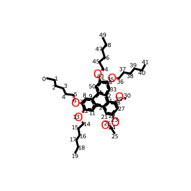 CCCCCCOc1cc2c(cc1OCCCCCC)c1cc(OC(C)=O)cc(OC)c1c1cc(OCCCCCC)c(OCCCCCC)cc21